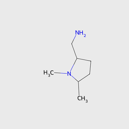 CC1CCC(CN)N1C